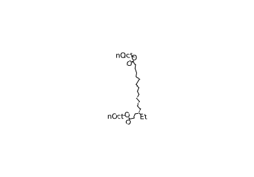 CCCCCCCCOC(=O)CCCCCCCCCCCCCC(CC)CCC(=O)OCCCCCCCC